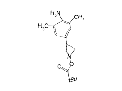 Cc1cc(C2CN(OC(=O)C(C)(C)C)C2)cc(C)c1N